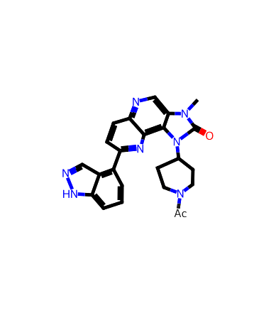 CC(=O)N1CCC(n2c(=O)n(C)c3cnc4ccc(-c5cccc6[nH]ncc56)nc4c32)CC1